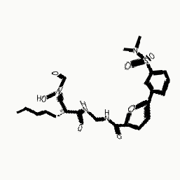 CCCCC[C@H](CN(O)C=O)C(=O)NCNC(=O)c1ccc(-c2cccc(S(=O)(=O)N(C)C)c2)o1